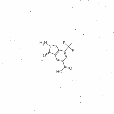 NN1Cc2c(cc(C(=O)O)cc2C(F)(F)F)C1=O